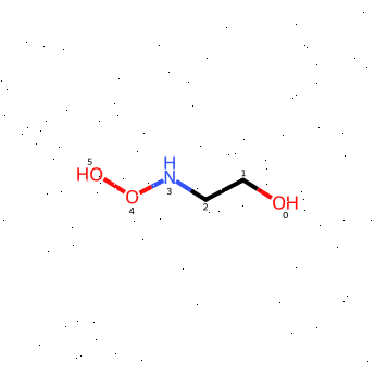 OCCNOO